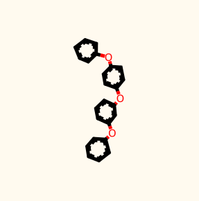 c1ccc(Oc2ccc(Oc3cccc(Oc4ccccc4)c3)cc2)cc1